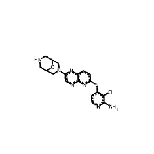 Nc1nccc(Sc2ccc3nc(N4CC5CNCC(C4)O5)cnc3n2)c1Cl